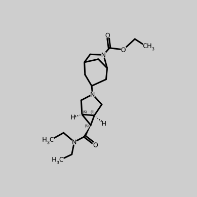 CCOC(=O)N1CC2CC(N3C[C@@H]4[C@H](C3)[C@@H]4C(=O)N(CC)CC)CC1C2